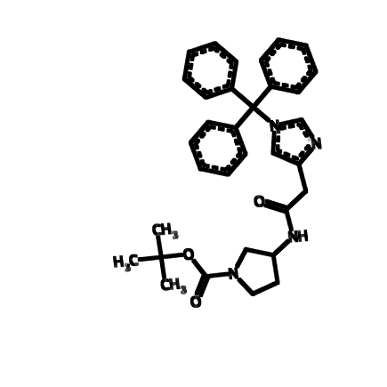 CC(C)(C)OC(=O)N1CCC(NC(=O)Cc2cn(C(c3ccccc3)(c3ccccc3)c3ccccc3)cn2)C1